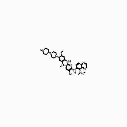 CCc1cc(Nc2ncc(Br)c(Nc3ccc4nccnc4c3N(C)SC)n2)c(OC)cc1N1CCN(C2CCN(C)CC2)CC1